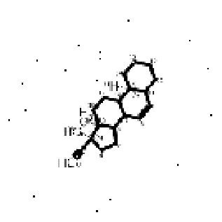 C#C[C@]1(O)CCC2C3C=CC4CCCC[C@@H]4C3CC[C@@]21C